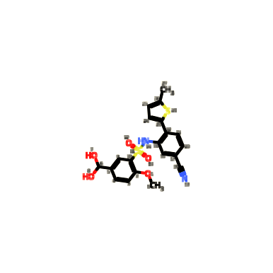 COc1ccc(C(O)O)cc1S(=O)(=O)Nc1cc(C#N)ccc1-c1ccc(C)s1